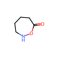 O=C1CCCCNO1